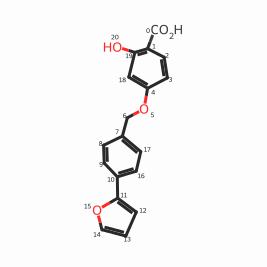 O=C(O)c1ccc(OCc2ccc(-c3ccco3)cc2)cc1O